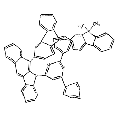 CC1(C)c2ccccc2-c2ccc(-n3c4ccccc4c4cc(-c5c6ccccc6cc6c7ccccc7n(-c7cc(-c8ccccc8)nc(-c8ccccc8)n7)c56)ccc43)cc21